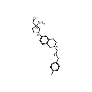 Cc1ccc(COC[C@@H]2CCc3cc([C@H]4CC[C@](N)(CO)C4)ccc3C2)cc1